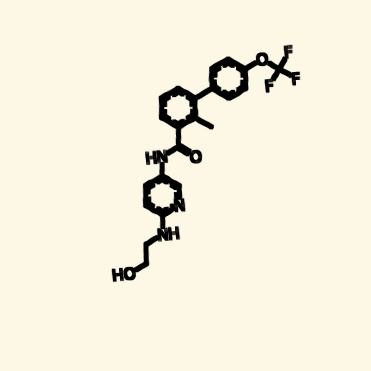 Cc1c(C(=O)Nc2ccc(NCCO)nc2)cccc1-c1ccc(OC(F)(F)F)cc1